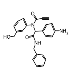 C#CC(=O)N(c1cccc(CO)c1)C(C(=O)NCc1ccccc1)c1ccc(N)cc1